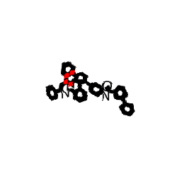 c1ccc(-c2cccc(-c3nc4ccc(-c5ccc6ccccc6c5-c5ccccc5-c5nc(-c6ccccc6)cc(-c6ccccc6)n5)cc4o3)c2)cc1